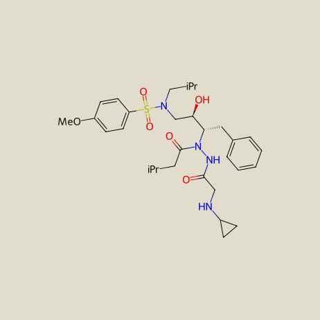 COc1ccc(S(=O)(=O)N(CC(C)C)C[C@@H](O)[C@H](Cc2ccccc2)N(NC(=O)CNC2CC2)C(=O)CC(C)C)cc1